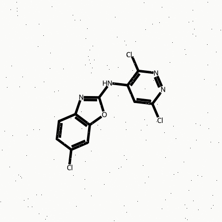 Clc1ccc2nc(Nc3cc(Cl)nnc3Cl)oc2c1